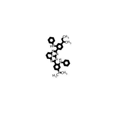 CCC(C)c1ccc(C2=NC3=CC=CC4=NC(c5ccc(N(C)C)cc5Nc5ccccc5)=NC(=N2)N34)c(Nc2ccccc2)c1